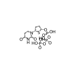 O=c1ccn(-c2ccc(OP(=O)(O)OP(=O)(O)OP(=O)(O)O)s2)c(=O)[nH]1